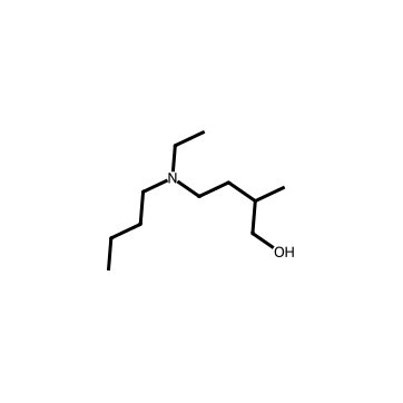 CCCCN(CC)CCC(C)CO